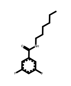 CCCCCCNC(=O)c1cc(F)cc(F)c1